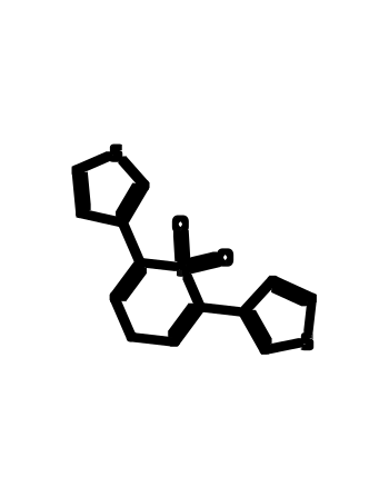 O=S1(=O)C(c2ccsc2)=CCC=C1c1ccsc1